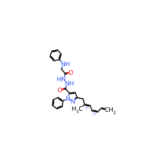 C=C/C=C\C=C(/C)Cc1cc(C(=O)NNC(=O)CNc2ccccc2)n(-c2ccccc2)n1